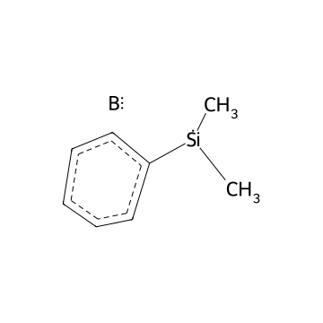 C[Si](C)c1ccccc1.[B]